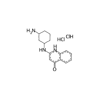 Cl.Cl.NC1CCCC(Nc2cc(=O)c3ccccc3[nH]2)C1